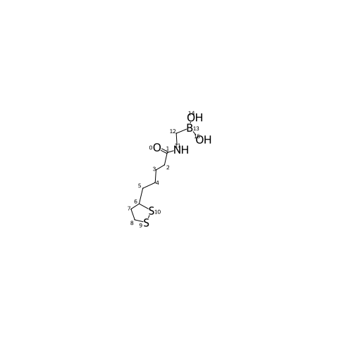 O=C(CCCCC1CCSS1)NCB(O)O